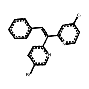 Clc1ccnc(C(=Cc2ccccc2)c2ccc(Br)cn2)c1